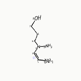 N/C=C\N(N)CCCO